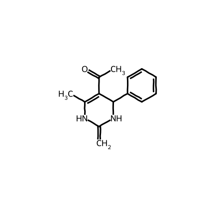 C=C1NC(C)=C(C(C)=O)C(c2ccccc2)N1